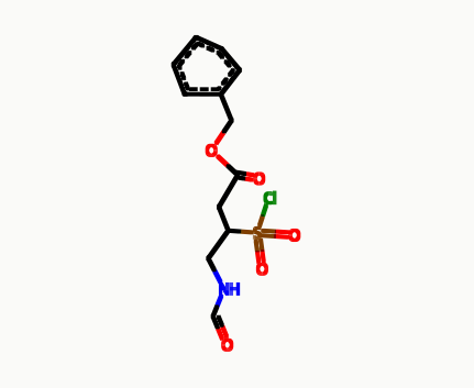 O=CNCC(CC(=O)OCc1ccccc1)S(=O)(=O)Cl